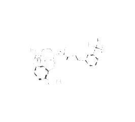 CN(C(=O)/C=C/c1cccc(C(F)(F)F)c1)C1CC[C@H]2[C@H]3Cc4ccc(O)c5c4[C@@]2(CCN3C)C1O5